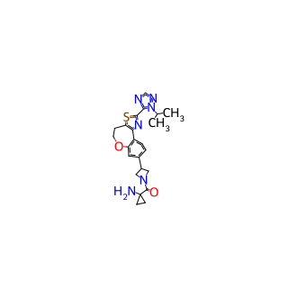 CC(C)n1ncnc1-c1nc2c(s1)CCOc1cc(C3CN(C(=O)C4(N)CC4)C3)ccc1-2